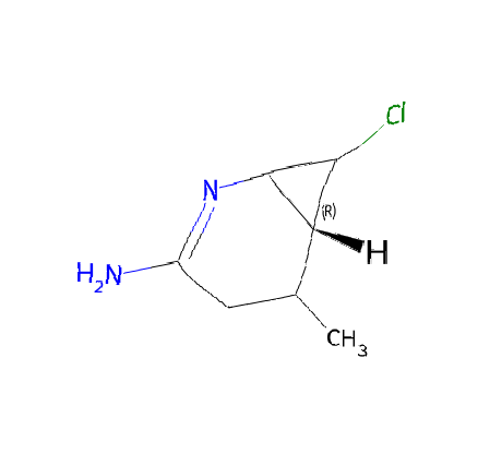 CC1CC(N)=NC2C(Cl)[C@H]12